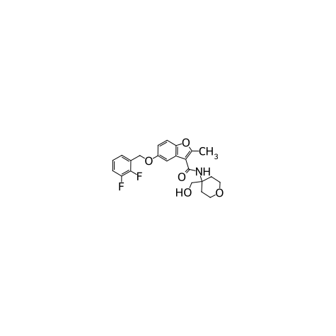 Cc1oc2ccc(OCc3cccc(F)c3F)cc2c1C(=O)NC1(CO)CCOCC1